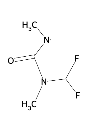 C[N]C(=O)N(C)C(F)F